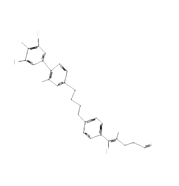 C=CCC/C(F)=C(\F)c1ccc(CCCCc2ccc(-c3cc(F)c(F)c(F)c3)c(F)c2)cc1